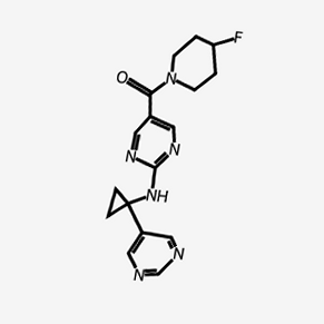 O=C(c1cnc(NC2(c3cncnc3)CC2)nc1)N1CCC(F)CC1